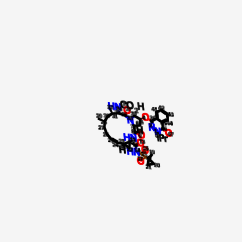 CC(C)n1nc(O[C@@H]2C[C@H]3C(=O)N[C@]4(C(=O)NS(=O)(=O)C5(C)CC5)C[C@H]4/C=C\CC[C@@H](C)C[C@@H](C)[C@H](NC(=O)O)C(=O)N3C2)c2ccccc2c1=O